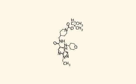 CCn1ncc2c(NC3CCOCC3)c(C(=O)NCC3CCN(C(=O)OC(C)(C)C)CC3)cnc21